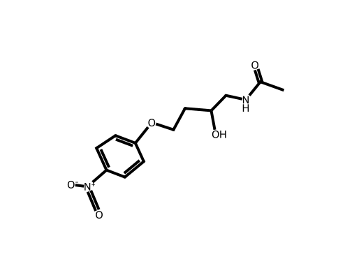 CC(=O)NCC(O)CCOc1ccc([N+](=O)[O-])cc1